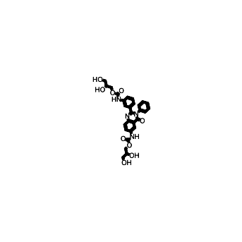 O=C(Nc1cccc(-c2nc3ccc(NC(=O)OCC(O)CO)cc3c(=O)n2-c2ccccc2)c1)OCC(O)CO